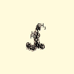 Cn1ccc(CNC(=O)Nc2ccc(-c3nc(-c4ccc(CN5CCOCC5)s4)nc(N4CCOCC4)n3)cc2)n1